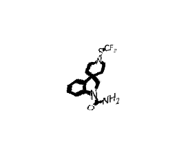 NC(=O)N1CC2(CCN(SC(F)(F)F)CC2)c2ccccc21